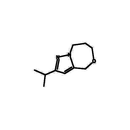 CC(C)c1cc2n(n1)CCCOC2